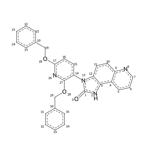 O=c1[nH]c2c3cccnc3ccc2n1-c1ccc(OCc2ccccc2)nc1OCc1ccccc1